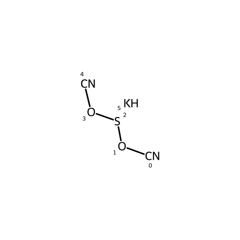 N#COSOC#N.[KH]